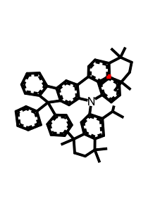 CC(C)c1cc2c(cc1N(c1ccccc1)c1cc3c(cc1-c1ccc4c(c1)C(C)(C)CCC4(C)C)-c1ccccc1C3(c1ccccc1)c1ccccc1)C(C)(C)CCC2(C)C